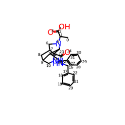 CC(C(=O)O)N1CC2CC3CNC2(C(=O)NCc2ccccc2)C1C3Cc1ccccc1